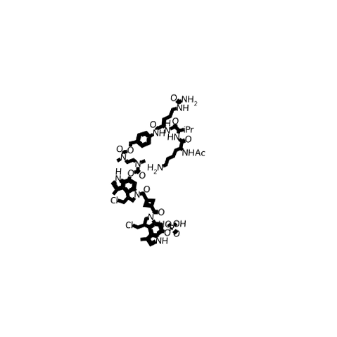 CC(=O)NC(CCCCN)C(=O)NC(C(=O)NC(CCCNC(N)=O)C(=O)Nc1ccc(COC(=O)N(C)CCN(C)C(=O)Oc2cc3c(c4c(C)c[nH]c24)C(CCl)CN3C(=O)C23CC(C(=O)N4CC(CCl)c5c4cc(OP(=O)(O)O)c4[nH]cc(C)c54)(C2)C3)cc1)C(C)C